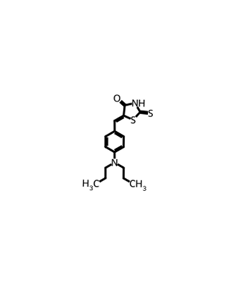 CCCN(CCC)c1ccc(/C=C2\SC(=S)NC2=O)cc1